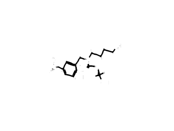 CC(C)(C)OC(=O)N(CCCCO)Cc1cccc([N+](=O)[O-])c1